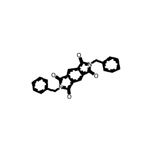 O=c1c2cc3c(=O)n(Cc4ccccc4)c(=O)c3cc2c(=O)n1Cc1ccccc1